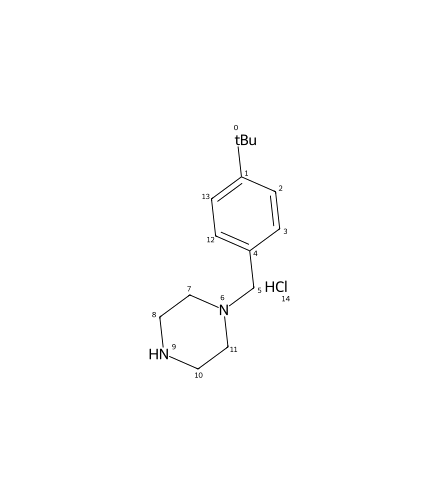 CC(C)(C)c1ccc(CN2CCNCC2)cc1.Cl